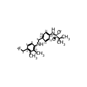 Cc1c(CF)ccc(NCc2ccc(NS(=O)(=O)C(C)C)cc2)c1C